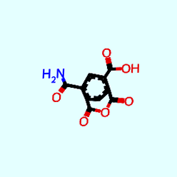 NC(=O)c1cc(C(=O)O)c2cc1C(=O)OC2=O